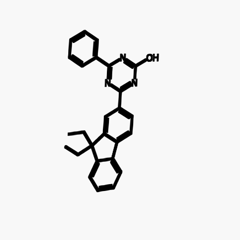 CCC1(CC)c2ccccc2-c2ccc(-c3nc(O)nc(-c4ccccc4)n3)cc21